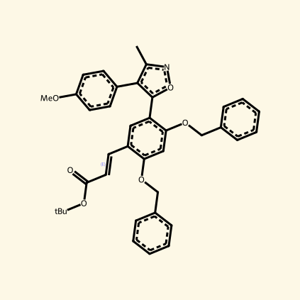 COc1ccc(-c2c(C)noc2-c2cc(/C=C/C(=O)OC(C)(C)C)c(OCc3ccccc3)cc2OCc2ccccc2)cc1